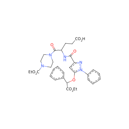 CCOC(=O)C(Oc1cc(C(=O)NC(CCC(=O)O)C(=O)N2CCN(C(=O)OCC)CC2)nn1-c1ccccc1)c1ccccc1